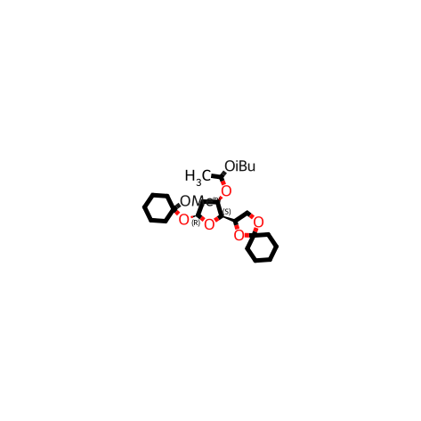 COC1(O[C@@H]2C[C@@H](OC(C)OCC(C)C)[C@@H](C3COC4(CCCCC4)O3)O2)CCCCC1